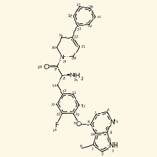 Cc1c[nH]c2nccc(Oc3ccc(C[C@H](N)C(=O)N4CC=C(c5ccccc5)CC4)cc3F)c12